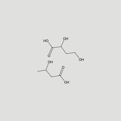 CC(O)CC(=O)O.O=C(O)C(O)CCO